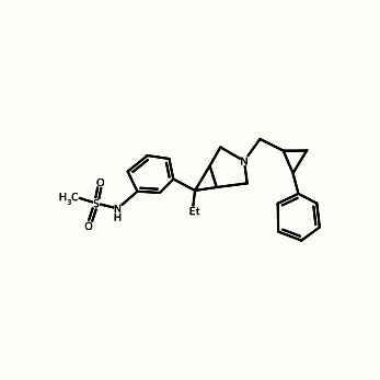 CCC1(c2cccc(NS(C)(=O)=O)c2)C2CN(CC3CC3c3ccccc3)CC21